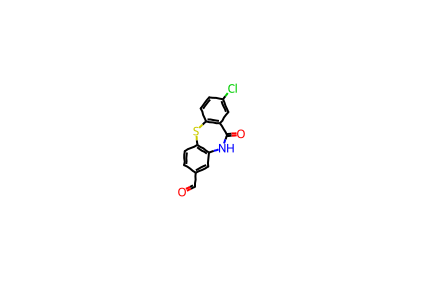 O=Cc1ccc2c(c1)NC(=O)c1cc(Cl)ccc1S2